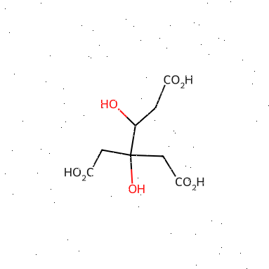 O=C(O)CC(O)C(O)(CC(=O)O)CC(=O)O